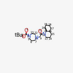 CC(C)(C)OC(=O)N1CCCN(CC(=O)N2CCCC3CCCC=C32)CC1